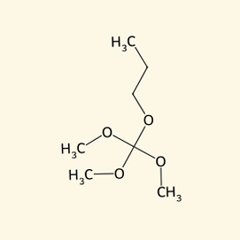 CCCOC(OC)(OC)OC